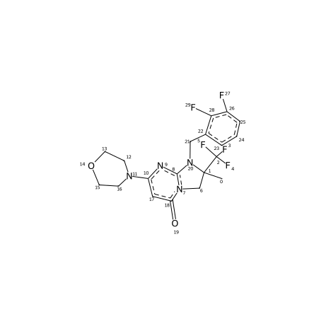 CC1(C(F)(F)F)Cn2c(nc(N3CCOCC3)cc2=O)N1Cc1cccc(F)c1F